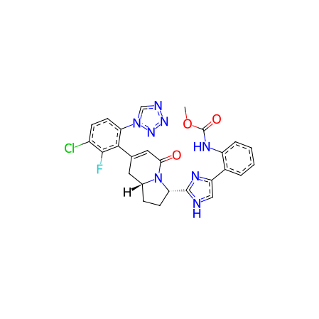 COC(=O)Nc1ccccc1-c1c[nH]c([C@@H]2CC[C@@H]3CC(c4c(-n5cnnn5)ccc(Cl)c4F)=CC(=O)N32)n1